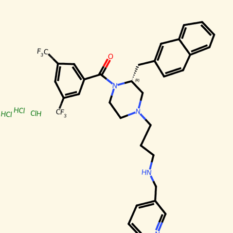 Cl.Cl.Cl.O=C(c1cc(C(F)(F)F)cc(C(F)(F)F)c1)N1CCN(CCCNCc2cccnc2)C[C@H]1Cc1ccc2ccccc2c1